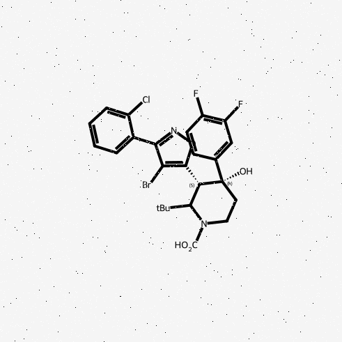 CC(C)(C)C1[C@H](c2onc(-c3ccccc3Cl)c2Br)[C@@](O)(c2ccc(F)c(F)c2)CCN1C(=O)O